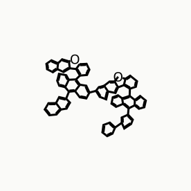 c1ccc(-c2cccc(-c3c4ccccc4c(-c4cccc5oc6cc7cc(-c8ccc9c(-c%10ccc%11ccccc%11c%10)c%10ccccc%10c(-c%10cccc%11oc%12cc%13ccccc%13cc%12c%10%11)c9c8)ccc7cc6c45)c4ccccc34)c2)cc1